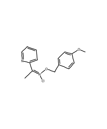 COc1ccc(CO[N+](Cl)=C(C)c2ccccn2)cc1